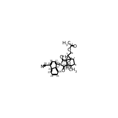 CC(=O)OCCC12CCC(C)(O1)[C@@H]1C(=O)N(c3ccc(C#N)c4ccccc34)C(=O)[C@@H]12